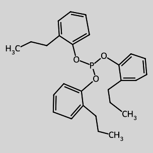 CCCc1ccccc1OP(Oc1ccccc1CCC)Oc1ccccc1CCC